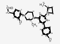 C[C@@H]1CN(c2ncc(OC=O)cc2Cl)CCN1c1cc(-c2ccc(Cl)cc2)nc(N2CC[C@@H]2C)n1